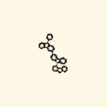 c1ccc(C2c3ccccc3-c3cc(-c4ccc5c(c4)c4ccccc4n5-c4cccc5c4-c4ccccc4C5)ccc32)cc1